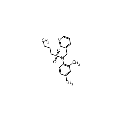 CCCCS(=O)(=O)N(Cc1cccnc1)c1ccc(C)cc1C